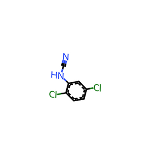 N#CNc1cc(Cl)ccc1Cl